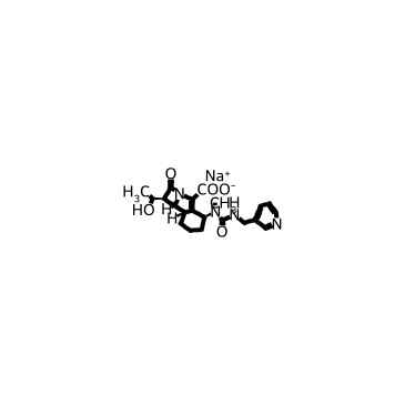 CC(O)[C@H]1C(=O)N2C(C(=O)[O-])=C3[C@H](CCC[C@@H]3N(C)C(=O)NCc3cccnc3)[C@H]12.[Na+]